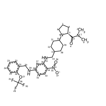 CN(C)C(=O)[C@@H]1CCCN1C1CCC(CNc2nc(NCc3ccccc3OC(F)(F)F)ncc2[N+](=O)[O-])CC1